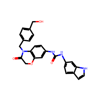 O=C(Nc1ccc2c(c1)OCC(=O)N2Cc1ccc(CO)cc1)Nc1ccc2cc[nH]c2c1